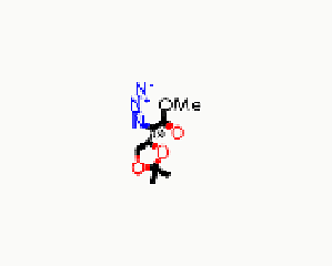 COC(=O)[C@@H](N=[N+]=[N-])C1COC(C)(C)O1